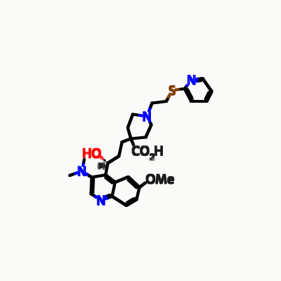 COc1ccc2ncc(N(C)C)c([C@H](O)CCC3(C(=O)O)CCN(CCSc4ccccn4)CC3)c2c1